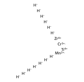 [Cr+3].[H-].[H-].[H-].[H-].[H-].[H-].[H-].[H-].[H-].[H-].[H-].[H-].[H-].[Mn+2].[Ti+4].[Zr+4]